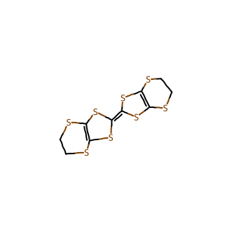 C1CSC2=C(S1)SC(=C1SC3=C(SCCS3)S1)S2